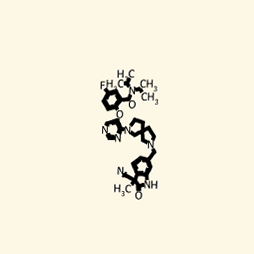 CC(C)N(C(=O)c1cc(F)ccc1Oc1cncnc1N1CCC2(CCN(Cc3ccc4c(c3)NC(=O)C4(C)C#N)C2)C1)C(C)C